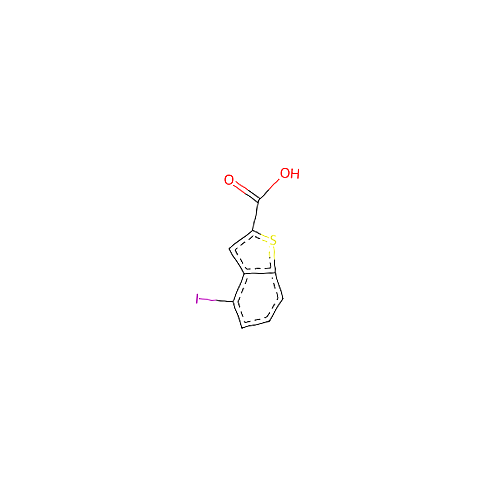 O=C(O)c1cc2c(I)cccc2s1